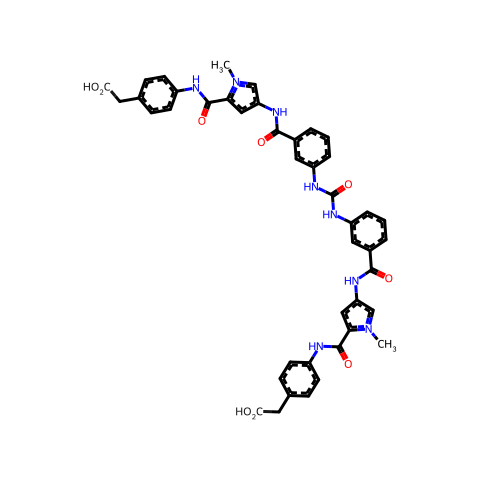 Cn1cc(NC(=O)c2cccc(NC(=O)Nc3cccc(C(=O)Nc4cc(C(=O)Nc5ccc(CC(=O)O)cc5)n(C)c4)c3)c2)cc1C(=O)Nc1ccc(CC(=O)O)cc1